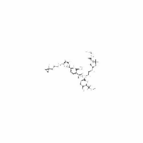 C=C(C[C@H]1CC(Br)C(C(C)(C)SF)N=C1NCCCC1CN(C(=O)OC(C)(C)C)C(C)(C)C1)c1ccc(-n2ccc(OCCCC3(C)CC3)n2)nc1Cl